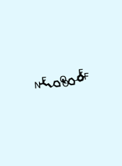 N#CC(F)=CC=C[C@H]1CC[C@H](C(=O)O[C@H]2CC[C@H](c3ccc(F)c(F)c3)CC2)CC1